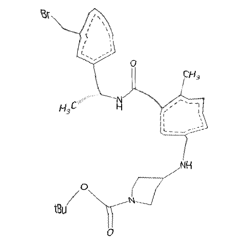 Cc1ccc(NC2CN(C(=O)OC(C)(C)C)C2)cc1C(=O)N[C@H](C)c1cccc(Br)c1